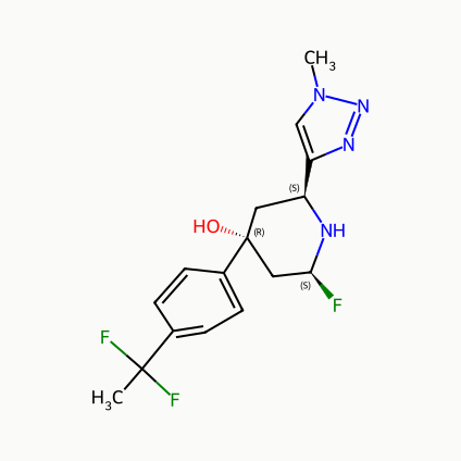 Cn1cc([C@@H]2C[C@](O)(c3ccc(C(C)(F)F)cc3)C[C@H](F)N2)nn1